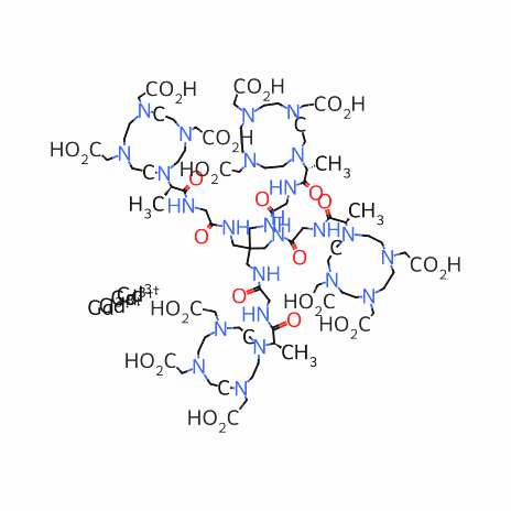 C[C@H](C(=O)NCC(=O)NCC(CNC(=O)CNC(=O)[C@@H](C)N1CCN(CC(=O)O)CCN(CC(=O)O)CCN(CC(=O)O)CC1)(CNC(=O)CNC(=O)[C@@H](C)N1CCN(CC(=O)O)CCN(CC(=O)O)CCN(CC(=O)O)CC1)CNC(=O)CNC(=O)[C@@H](C)N1CCN(CC(=O)O)CCN(CC(=O)O)CCN(CC(=O)O)CC1)N1CCN(CC(=O)O)CCN(CC(=O)O)CCN(CC(=O)O)CC1.[Gd+3].[Gd+3].[Gd+3].[Gd+3]